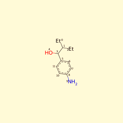 CCC(CC)C(O)c1ccc(N)cc1